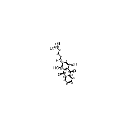 CCN(CC)CCCNc1cc(O)c2c(c1O)C(=O)c1ccccc1C2=O